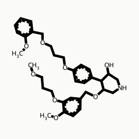 COCCCOc1cc(COC2CNCC(O)C2c2ccc(OCCCOCc3ccccc3OC)cc2)ccc1OC